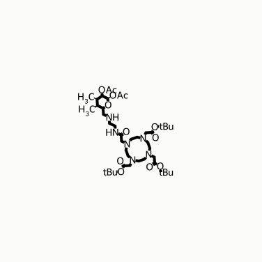 CC(=O)OC1[C@H](OC(C)=O)OC(CNCCNC(=O)CN2CCN(CC(=O)OC(C)(C)C)CCN(CC(=O)OC(C)(C)C)CCN(CC(=O)OC(C)(C)C)CC2)[C@@H](C)[C@@H]1C